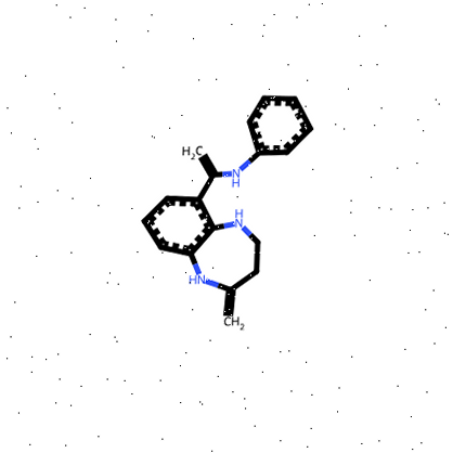 C=C1CCNc2c(cccc2C(=C)Nc2ccccc2)N1